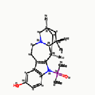 CC[C@H]1C[C@H]2C[C@H]3c4c(c5cc(O)ccc5n4P(=O)(OC)OC)CCN(C2)C13